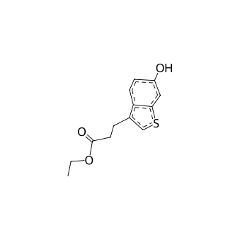 CCOC(=O)CCc1csc2cc(O)ccc12